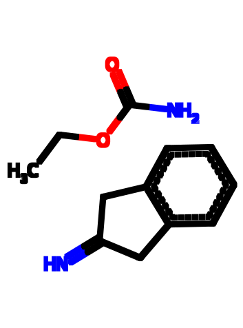 CCOC(N)=O.N=C1Cc2ccccc2C1